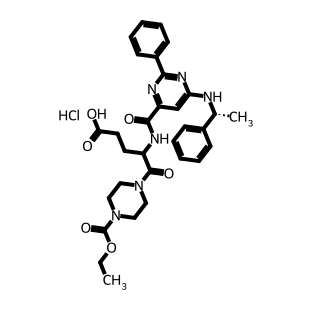 CCOC(=O)N1CCN(C(=O)C(CCC(=O)O)NC(=O)c2cc(N[C@H](C)c3ccccc3)nc(-c3ccccc3)n2)CC1.Cl